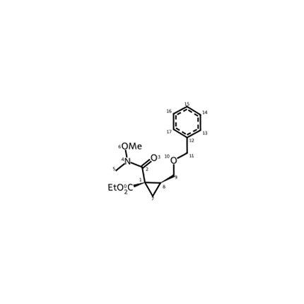 CCOC(=O)[C@]1(C(=O)N(C)OC)C[C@@H]1COCc1ccccc1